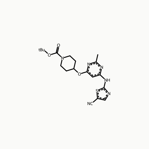 Cc1nc(Nc2ncc(C#N)s2)cc(OC2CCN(C(=O)OC(C)(C)C)CC2)n1